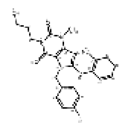 Cn1c(=O)n(CCCO)c(=O)c2c1nc(OC1=C(C#N)CCC=C1)n2Cc1ccc(F)cc1